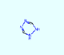 [C]1=NN=CNN1